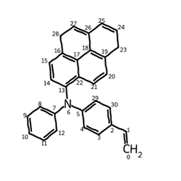 C=Cc1ccc(N(c2ccccc2)c2ccc3c4c5c(ccc24)CC=CC5=CC3)cc1